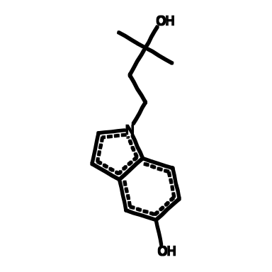 CC(C)(O)CCn1ccc2cc(O)ccc21